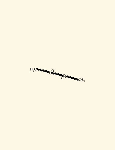 CCCCCCCCCCOC(=O)CCCCCCC(=O)OCCCCCCCCCC